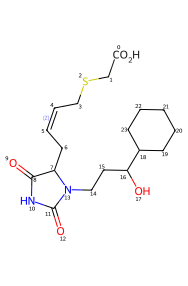 O=C(O)CSC/C=C\CC1C(=O)NC(=O)N1CCC(O)C1CCCCC1